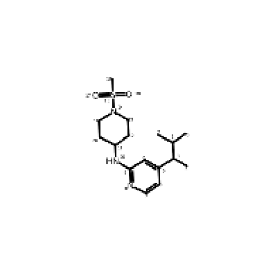 CC(C)C(C)c1ccnc(NC2CCN(S(C)(=O)=O)CC2)c1